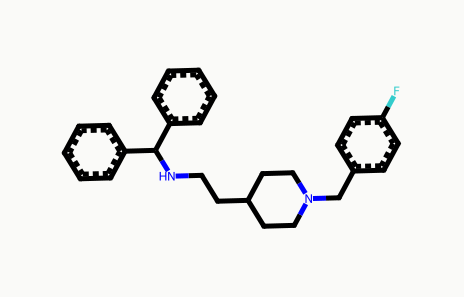 Fc1ccc(CN2CCC(CCNC(c3ccccc3)c3ccccc3)CC2)cc1